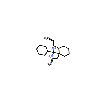 C=CCC1CCCCC1(CC=C)C(N)(N)C1CCCCC1